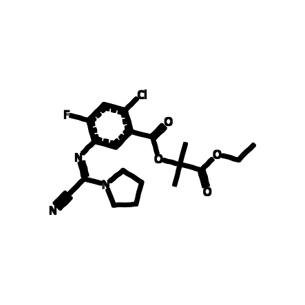 CCOC(=O)C(C)(C)OC(=O)c1cc(N=C(C#N)N2CCCC2)c(F)cc1Cl